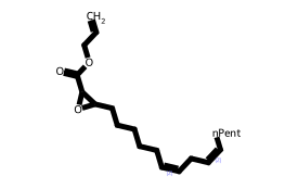 C=CCOC(=O)C1OC1CCCCC/C=C\C/C=C\CCCCC